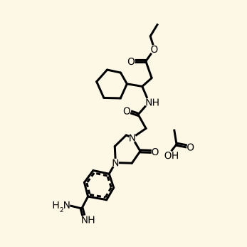 CC(=O)O.CCOC(=O)CC(NC(=O)CN1CCN(c2ccc(C(=N)N)cc2)CC1=O)C1CCCCC1